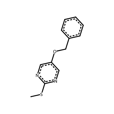 CSc1ncc(OCc2ccccc2)cn1